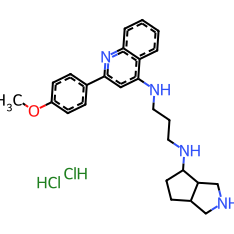 COc1ccc(-c2cc(NCCCNC3CCC4CNCC43)c3ccccc3n2)cc1.Cl.Cl